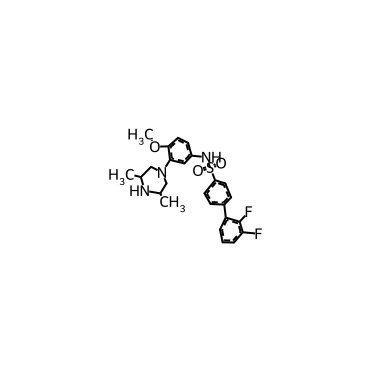 COc1ccc(NS(=O)(=O)c2ccc(-c3cccc(F)c3F)cc2)cc1N1CC(C)NC(C)C1